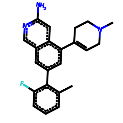 Cc1cccc(F)c1-c1cc(C2=CCN(C)CC2)c2cc(N)ncc2c1